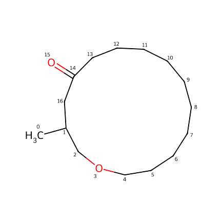 CC1COCCCCCCCCCCC(=O)C1